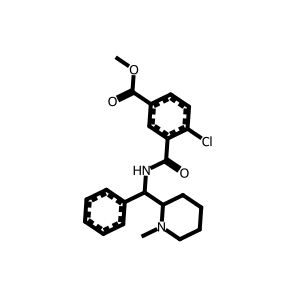 COC(=O)c1ccc(Cl)c(C(=O)NC(c2ccccc2)C2CCCCN2C)c1